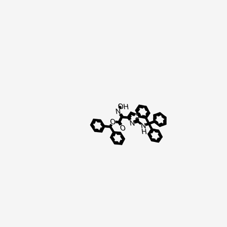 O=C(OC(c1ccccc1)c1ccccc1)C(=NO)c1csc(NC(c2ccccc2)(c2ccccc2)c2ccccc2)n1